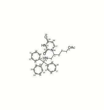 CC(=O)OCCCC(CNC(c1ccccc1)(c1ccccc1)c1ccccc1)n1ccc(=O)[nH]c1=O